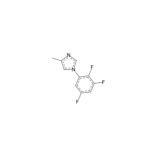 Cc1cn(-c2cc(F)cc(F)c2F)cn1